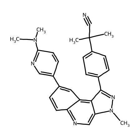 CN(C)c1ccc(-c2ccc3ncc4c(c(-c5ccc(C(C)(C)C#N)cc5)nn4C)c3c2)cn1